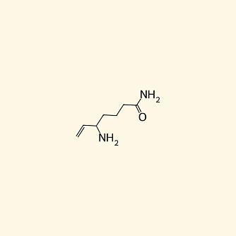 C=CC(N)CCCC(N)=O